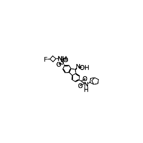 O=S(=O)(NC1CC(F)C1)c1ccc2c(c1)/C(=N/O)c1cc(S(=O)(=O)NC3CC4CCC3C4)ccc1-2